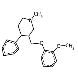 COc1ccccc1OCC1CN(C)CCC1c1ccccc1